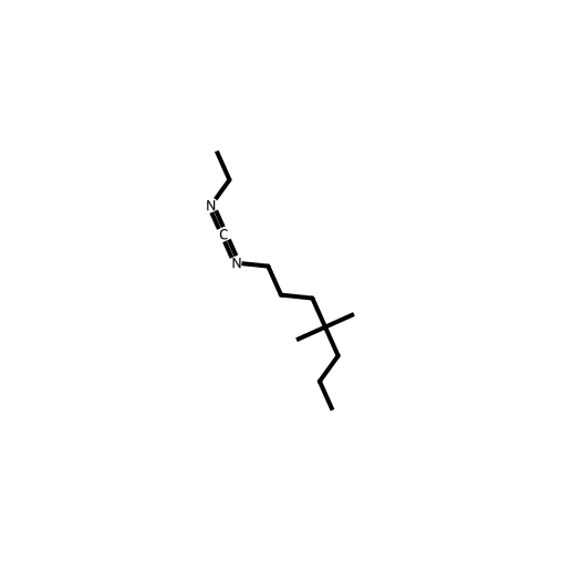 CCCC(C)(C)CCCN=C=NCC